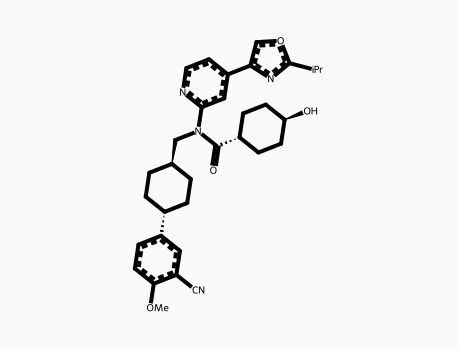 COc1ccc([C@H]2CC[C@H](CN(c3cc(-c4coc(C(C)C)n4)ccn3)C(=O)[C@H]3CC[C@H](O)CC3)CC2)cc1C#N